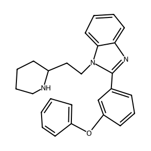 c1ccc(Oc2cccc(-c3nc4ccccc4n3CCC3CCCCN3)c2)cc1